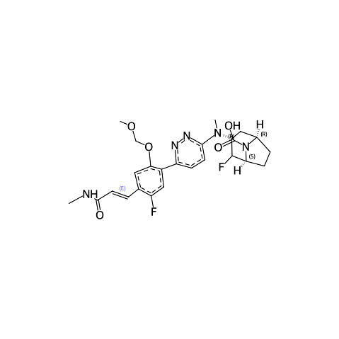 CNC(=O)/C=C/c1cc(OCOC)c(-c2ccc(N(C)[C@@H]3C[C@H]4CC[C@@H](C3F)N4C(=O)O)nn2)cc1F